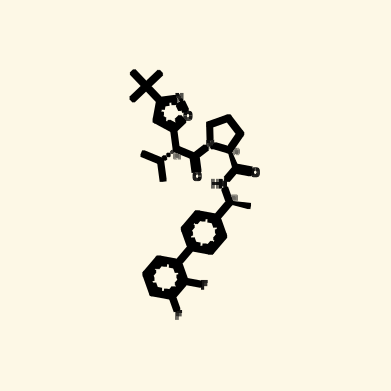 CC(C)[C@@H](C(=O)N1CCC[C@H]1C(=O)N[C@@H](C)c1ccc(-c2cccc(F)c2F)cc1)c1cc(C(C)(C)C)no1